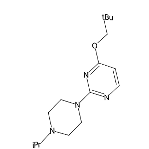 CC(C)N1CCN(c2nccc(OCC(C)(C)C)n2)CC1